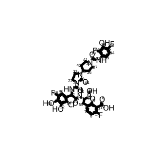 O=C(O)c1c(F)ccc2c1OB(O)[C@@H](NC(=O)C(NC(=O)N1CCN(C3CCN(C(=O)Nc4ccc(F)c(O)c4F)CC3)C1=O)c1cc(F)c(O)c(O)c1Cl)C2